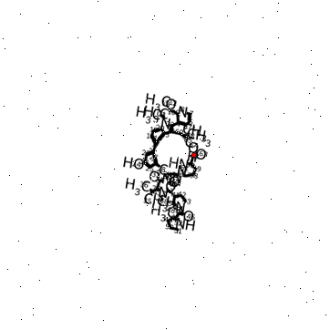 CCn1c(-c2cccnc2[C@H](C)OC)c2c3cc(ccc31)-c1cc(O)cc(c1)C[C@H](NC(=O)C(C(C)C)N(C)C(=O)[C@H]1CCN(C(=O)[C@@]3(C)CCCN3)C1)C(=O)N1CCC[C@H](N1)C(=O)OCC(C)(C)C2